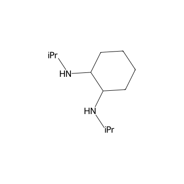 CC(C)NC1CCCCC1NC(C)C